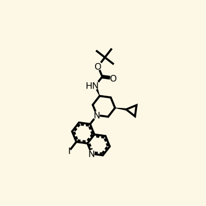 CC(C)(C)OC(=O)N[C@H]1C[C@@H](C2CC2)CN(c2ccc(I)c3ncccc23)C1